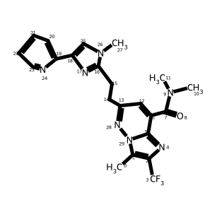 Cc1c(C(F)(F)F)nc2c(C(=O)N(C)C)cc(CCc3nc(-c4ccccn4)cn3C)nn12